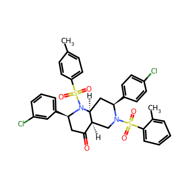 Cc1ccc(S(=O)(=O)N2[C@H](c3cccc(Cl)c3)CC(=O)[C@@H]3CN(S(=O)(=O)c4ccccc4C)[C@H](c4ccc(Cl)cc4)C[C@@H]32)cc1